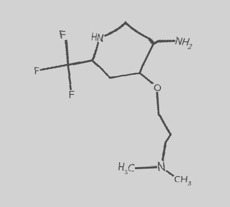 CN(C)CCOC1CC(C(F)(F)F)NCC1N